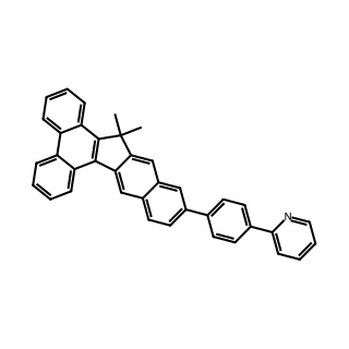 CC1(C)c2cc3cc(-c4ccc(-c5ccccn5)cc4)ccc3cc2-c2c1c1ccccc1c1ccccc21